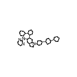 c1ccc(-c2ccc(-c3ccc(-n4ccc5cc6c(cc54)-c4ccccc4-c4ccccc4N6c4ncccn4)cc3)cc2)cc1